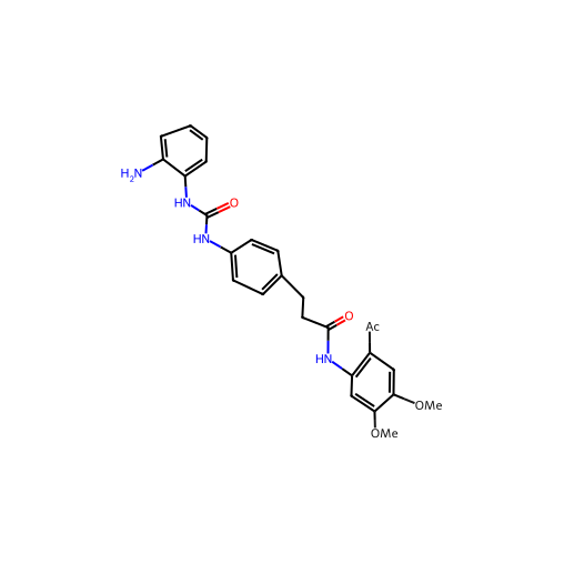 COc1cc(NC(=O)CCc2ccc(NC(=O)Nc3ccccc3N)cc2)c(C(C)=O)cc1OC